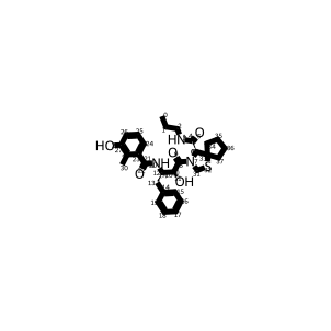 CCCNC(=O)[C@H]1N(C(=O)[C@@H](O)[C@H](Cc2ccccc2)NC(=O)c2cccc(O)c2C)CSC12CCCC2